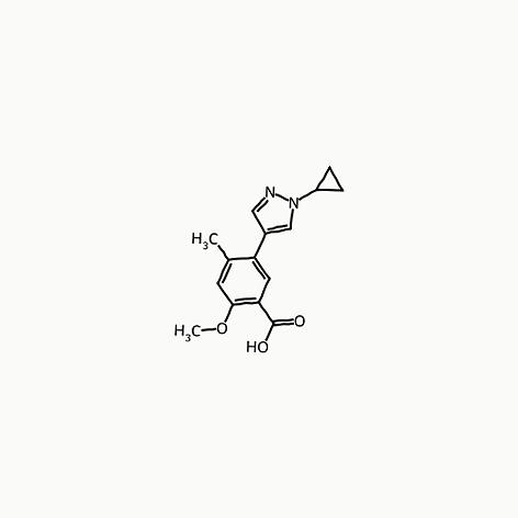 COc1cc(C)c(-c2cnn(C3CC3)c2)cc1C(=O)O